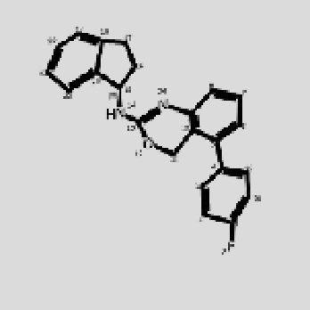 Fc1ccc(-c2cccc3c2COC(N[C@@H]2CCc4ccccc42)=N3)cc1